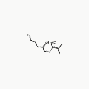 CC(C)=C(C=O)/C=C\C(=N)CCCC(C)C